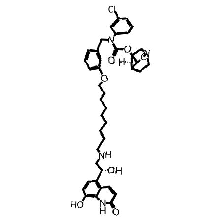 O=C(O[C@H]1CN2CCC1CC2)N(Cc1cccc(OCCCCCCCCCNC[C@H](O)c2ccc(O)c3[nH]c(=O)ccc23)c1)c1cccc(Cl)c1